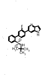 CC(C)(C)NS(=O)(=O)c1ccccc1-c1ccc(-c2cnc3cc[nH]c3c2)c(F)c1